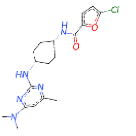 Cc1cc(N(C)C)nc(N[C@H]2CC[C@@H](NC(=O)c3ccc(Cl)o3)CC2)n1